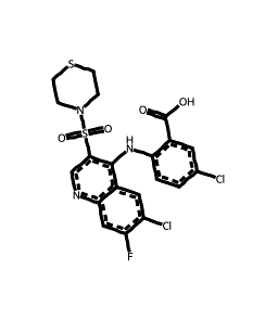 O=C(O)c1cc(Cl)ccc1Nc1c(S(=O)(=O)N2CCSCC2)cnc2cc(F)c(Cl)cc12